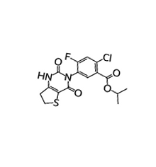 CC(C)OC(=O)c1cc(-n2c(=O)[nH]c3c(c2=O)SCC3)c(F)cc1Cl